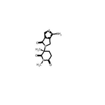 CN1C(=O)CC[C@@](C)(N2Cc3c(csc3N)C2=O)C1=O